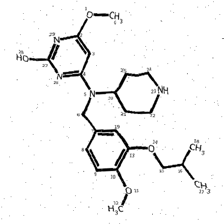 COc1cc(N(Cc2ccc(OC)c(OCC(C)C)c2)C2CCNCC2)nc(O)n1